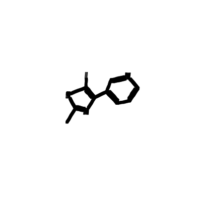 Cc1nc(-c2cccnc2)c(I)s1